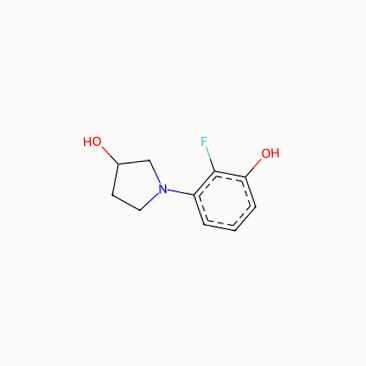 Oc1cccc(N2CCC(O)C2)c1F